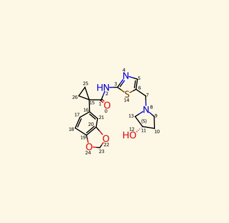 O=C(Nc1ncc(CN2CC[C@H](O)C2)s1)C1(c2ccc3c(c2)OCO3)CC1